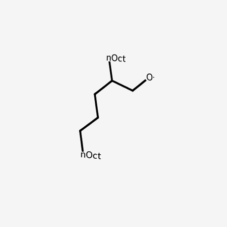 CCCCCCCCCCCC(C[O])CCCCCCCC